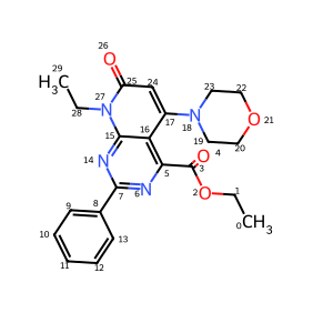 CCOC(=O)c1nc(-c2ccccc2)nc2c1c(N1CCOCC1)cc(=O)n2CC